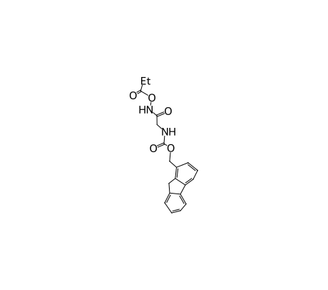 CCC(=O)ONC(=O)CNC(=O)OCc1cccc2c1Cc1ccccc1-2